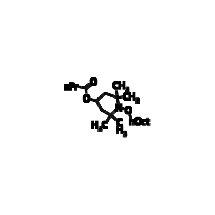 CCCCCCCCON1C(C)(C)CC(OC(=O)CCC)CC1(C)C